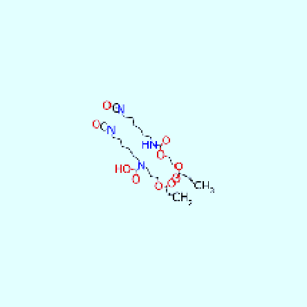 C/C=C/C(=O)OCCOC(=O)NCCCCCCN=C=O.C=CC(=O)OCCCN(CCCCCCN=C=O)C(=O)O